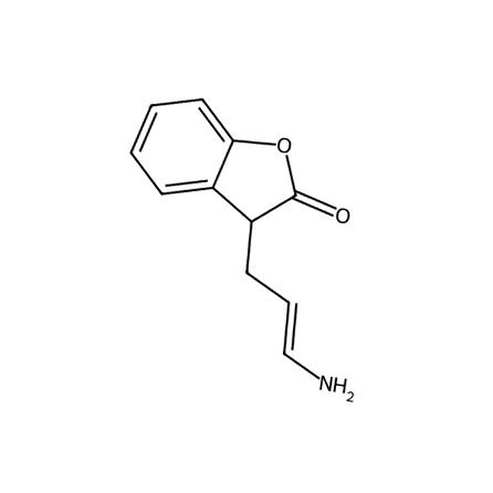 NC=CCC1C(=O)Oc2ccccc21